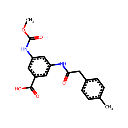 COC(=O)Nc1cc(NC(=O)Cc2ccc(C)cc2)cc(C(=O)O)c1